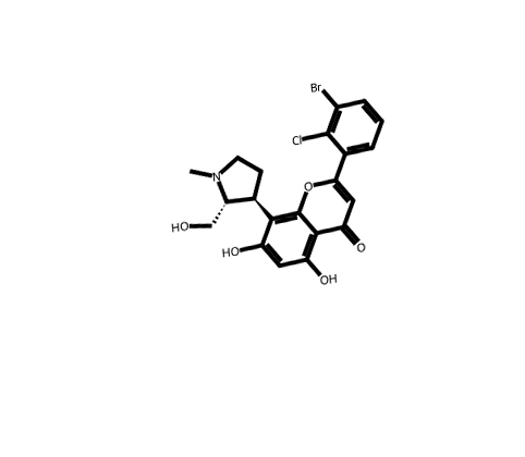 CN1CC[C@@H](c2c(O)cc(O)c3c(=O)cc(-c4cccc(Br)c4Cl)oc23)[C@@H]1CO